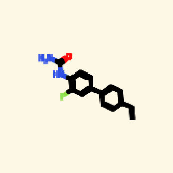 C=Cc1ccc(-c2ccc(NC(N)=O)c(F)c2)cc1